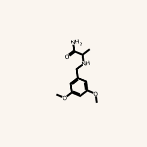 COc1cc(CNC(C)C(N)=O)cc(OC)c1